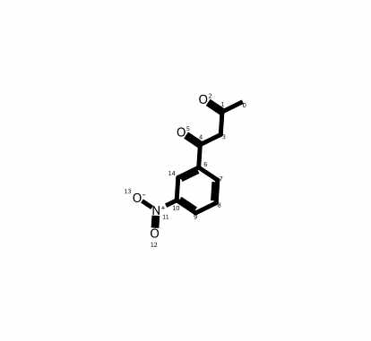 CC(=O)CC(=O)c1cccc([N+](=O)[O-])c1